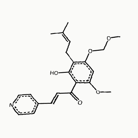 COCOc1cc(OC)c(C(=O)C=Cc2ccncc2)c(O)c1CC=C(C)C